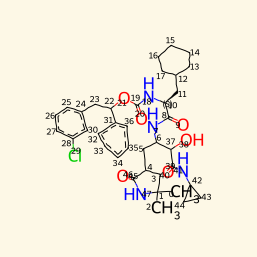 CC1(C)CC(CC(NC(=O)[C@H](CC2CCCCC2)NC(=O)OC(Cc2cccc(Cl)c2)c2ccccc2)C(O)C(=O)NC2CC2)C(=O)N1